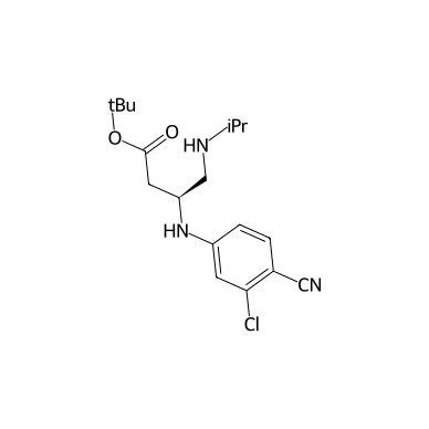 CC(C)NC[C@H](CC(=O)OC(C)(C)C)Nc1ccc(C#N)c(Cl)c1